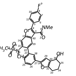 CNC(=O)c1c(-c2ccc(F)cc2)oc2cc(N(C)S(C)(=O)=O)c(-c3cccc(-c4cc5c(o4)CCCC5O)c3)cc12